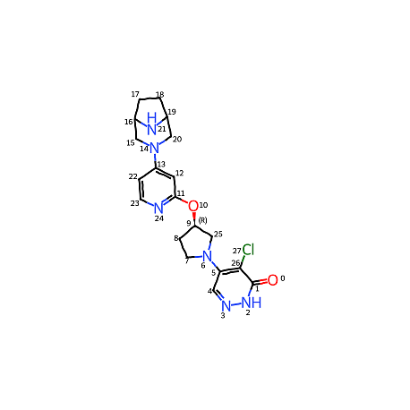 O=c1[nH]ncc(N2CC[C@@H](Oc3cc(N4CC5CCC(C4)N5)ccn3)C2)c1Cl